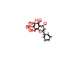 O=c1cc(-c2ccccc2)oc2cc(P(=O)(O)O)cc(O)c12